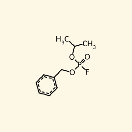 CC(C)OP(=O)(F)OCc1ccccc1